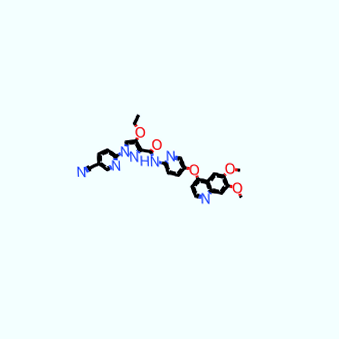 CCOc1cn(-c2ccc(C#N)cn2)nc1C(=O)Nc1ccc(Oc2ccnc3cc(OC)c(OC)cc23)cn1